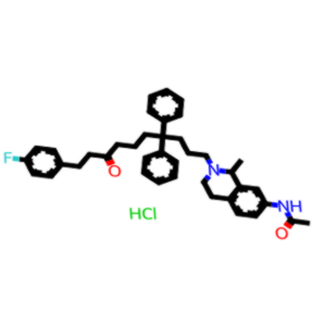 CC(=O)Nc1ccc2c(c1)C(C)N(CCCC(CCCC(=O)CCc1ccc(F)cc1)(c1ccccc1)c1ccccc1)CC2.Cl